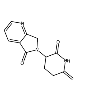 C=C1CCC(N2Cc3ncccc3C2=O)C(=O)N1